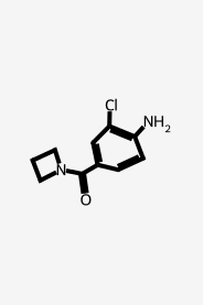 Nc1ccc(C(=O)N2CCC2)cc1Cl